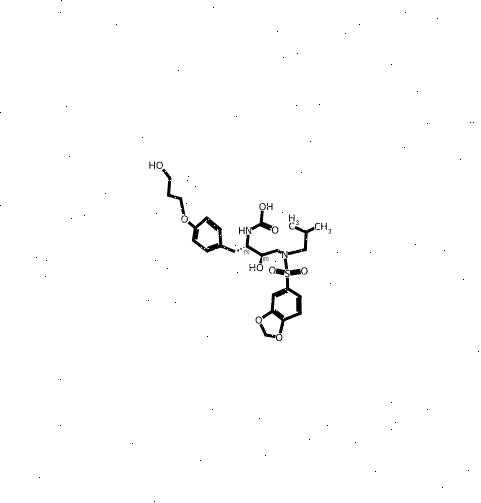 CC(C)CN(C[C@@H](O)[C@H](Cc1ccc(OCCCO)cc1)NC(=O)O)S(=O)(=O)c1ccc2c(c1)OCO2